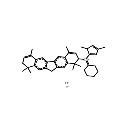 CC1=CC(C)[C]([Zr+2](=[C]2CCCCC2)[CH]2C=C(C)c3cc4c(cc3C2(C)C)Cc2cc3c(cc2-4)C(C)=CCC3(C)C)=C1.[Cl-].[Cl-]